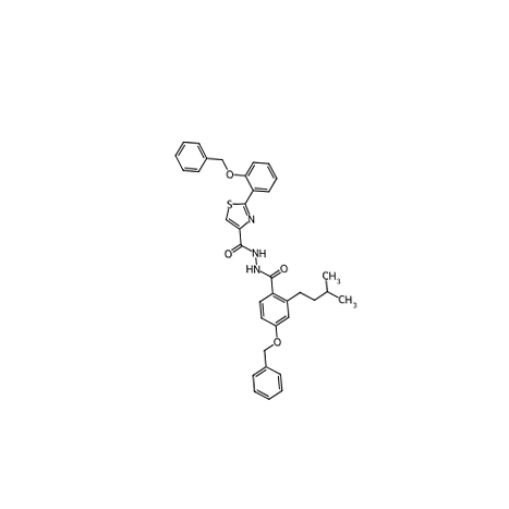 CC(C)CCc1cc(OCc2ccccc2)ccc1C(=O)NNC(=O)c1csc(-c2ccccc2OCc2ccccc2)n1